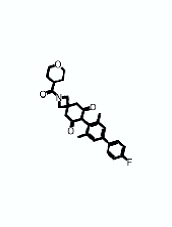 Cc1cc(-c2ccc(F)cc2)cc(C)c1C1C(=O)CC2(CC1=O)CN(C(=O)C1CCOCC1)C2